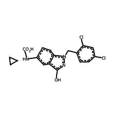 C1CC1.O=C(O)Nc1ccc2c(c1)c(O)nn2Cc1ccc(Cl)cc1Cl